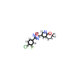 CC1(C)CCc2cc(-c3nc(-c4ccc(Cl)c(F)c4)no3)cnc2O1